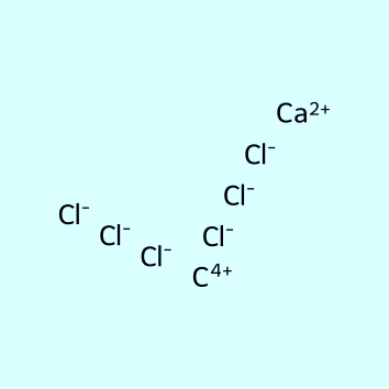 [C+4].[Ca+2].[Cl-].[Cl-].[Cl-].[Cl-].[Cl-].[Cl-]